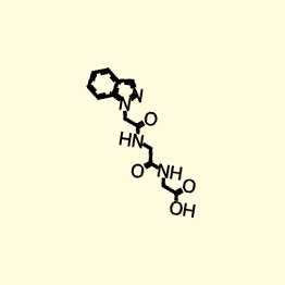 O=C(O)CNC(=O)CNC(=O)Cn1ncc2ccccc21